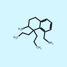 CCCC1(CCC)c2c(CN)cccc2CCC1N